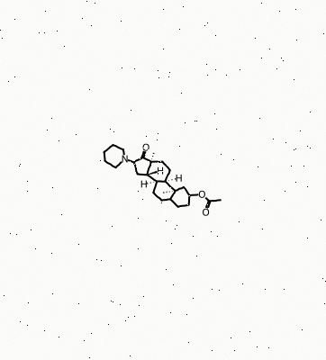 CC(=O)OC1CCC2CC[C@@H]3[C@@H](CC[C@]4(C)C(=O)C(N5CCCCC5)C[C@@H]34)[C@@]2(C)C1